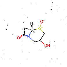 O=C1C[C@H]2N1CC(O)C[S+]2[O-]